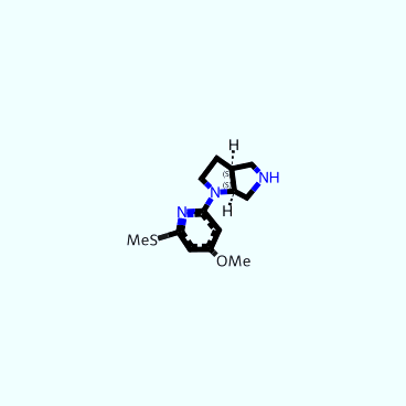 COc1cc(SC)nc(N2CC[C@H]3CNC[C@H]32)c1